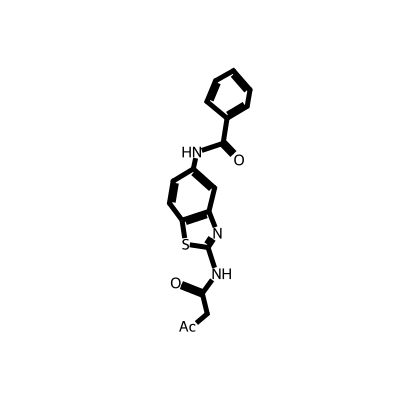 CC(=O)CC(=O)Nc1nc2cc(NC(=O)c3ccccc3)ccc2s1